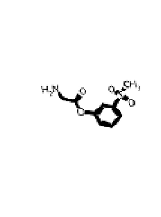 CS(=O)(=O)c1cccc(OC(=O)CN)c1